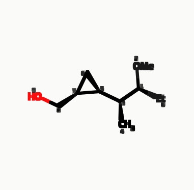 CC[C@H](OC)[C@@H](C)[C@@H]1C[C@@H]1CO